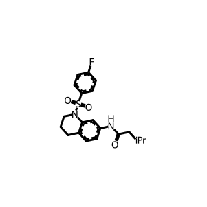 CC(C)CC(=O)Nc1ccc2c(c1)N(S(=O)(=O)c1ccc(F)cc1)CCC2